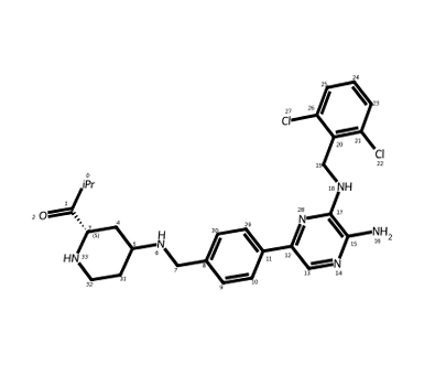 CC(C)C(=O)[C@@H]1CC(NCc2ccc(-c3cnc(N)c(NCc4c(Cl)cccc4Cl)n3)cc2)CCN1